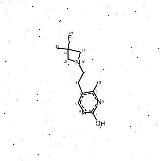 Cc1nc(O)ncc1CCN1CC(C)(F)C1